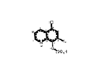 O=S(=O)(O)Oc1c(I)cc(Cl)c2cccnc12